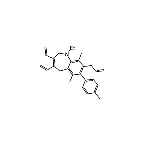 C=CCc1c(C)c2c(c(C)c1-c1ccc(C)cc1)CC(C=C)=C(C=C)CN2CC